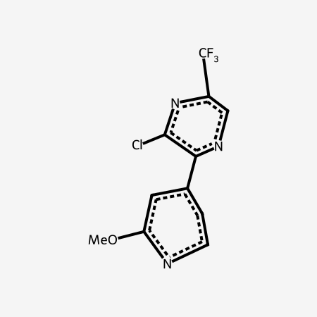 COc1cc(-c2ncc(C(F)(F)F)nc2Cl)ccn1